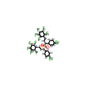 O=S(=O)(C(C=Cc1c(F)c(F)c(F)c(F)c1F)c1ccc(Br)cc1)C(C=Cc1c(F)c(F)c(F)c(F)c1F)c1ccc(Br)cc1